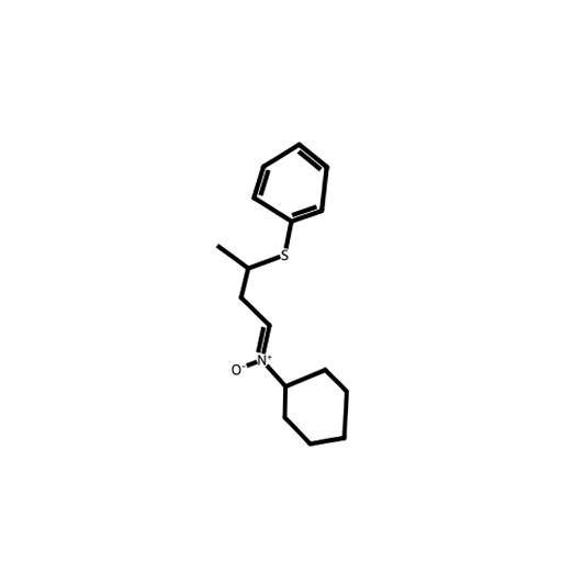 CC(CC=[N+]([O-])C1CCCCC1)Sc1ccccc1